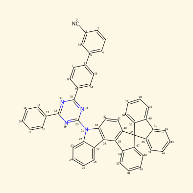 N#Cc1cccc(-c2ccc(-c3nc(-c4ccccc4)nc(-n4c5ccccc5c5c6c(ccc54)C4(c5ccccc5-c5ccccc54)c4ccccc4-6)n3)cc2)c1